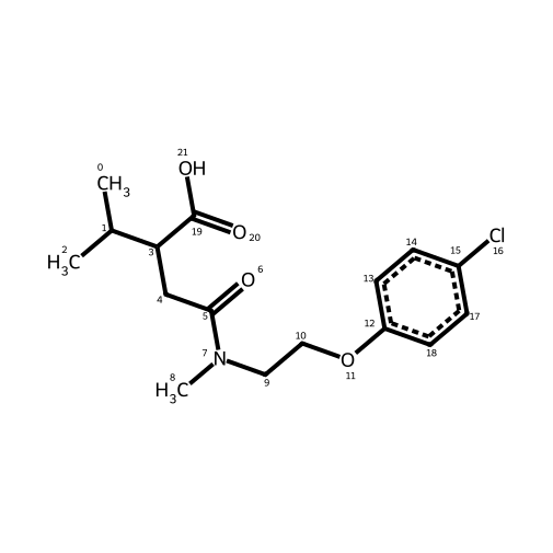 CC(C)C(CC(=O)N(C)CCOc1ccc(Cl)cc1)C(=O)O